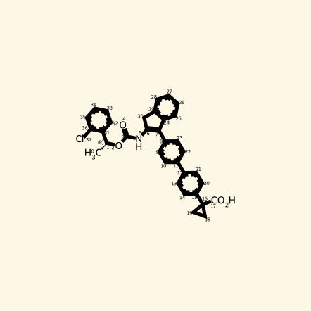 C[C@@H](OC(=O)NC1=C(c2ccc(-c3ccc(C4(C(=O)O)CC4)cc3)cc2)c2ccccc2C1)c1ccccc1Cl